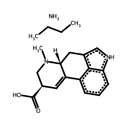 CCCC.CN1C[C@H](C(=O)O)C=C2c3cccc4[nH]cc(c34)C[C@H]21.N